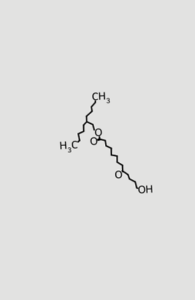 CCCCCC(CCCCC)CCOC(=O)CCCCCCCC(=O)CCCCO